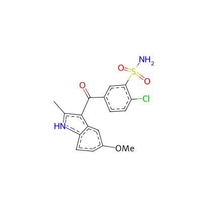 COc1ccc2[nH]c(C)c(C(=O)c3ccc(Cl)c(S(N)(=O)=O)c3)c2c1